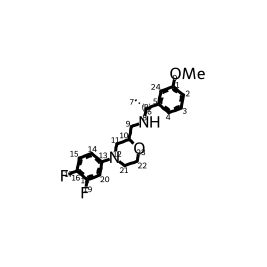 COc1cccc([C@@H](C)NCC2CN(c3ccc(F)c(F)c3)CCO2)c1